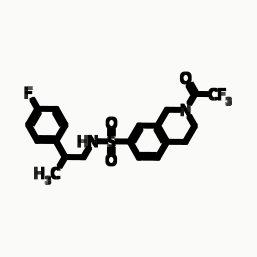 CC(CNS(=O)(=O)c1ccc2c(c1)CN(C(=O)C(F)(F)F)CC2)c1ccc(F)cc1